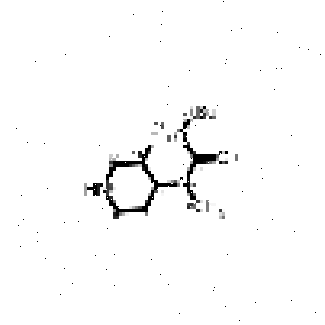 CN(C(=O)OC(C)(C)C)C1CCNCC1F